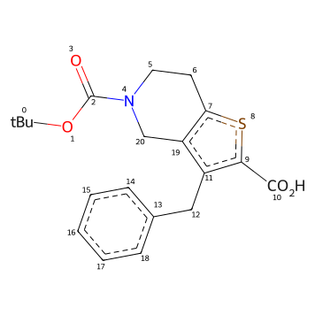 CC(C)(C)OC(=O)N1CCc2sc(C(=O)O)c(Cc3ccccc3)c2C1